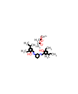 CC(=O)[O-].CC(=O)[O-].CCc1cc(C(C)CC)cc(C=NC2CCCC(N=Cc3cc(C(C)CC)cc(CC)c3O)C2)c1O.[Co+2]